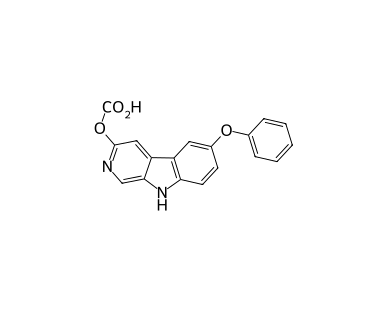 O=C(O)Oc1cc2c(cn1)[nH]c1ccc(Oc3ccccc3)cc12